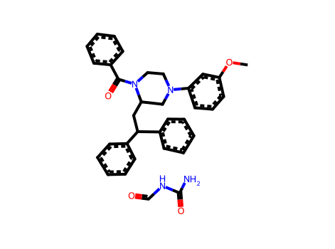 COc1cccc(N2CCN(C(=O)c3ccccc3)C(CC(c3ccccc3)c3ccccc3)C2)c1.NC(=O)NC=O